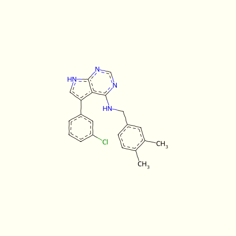 Cc1ccc(CNc2ncnc3[nH]cc(-c4cccc(Cl)c4)c23)cc1C